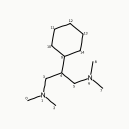 CN(C)CC(CN(C)C)C1CCCCC1